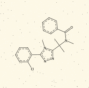 CN(C(=O)c1ccccc1)C(C)(C)c1nnc(-c2ccccc2Cl)n1C